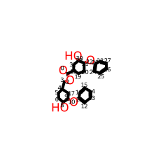 O=C(OCC1CCC(O)C(Oc2ccccc2)C1)C1CCC(Oc2ccccc2)C(O)C1